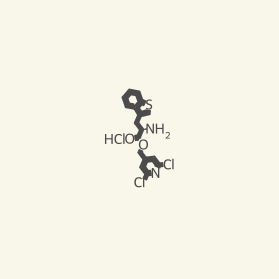 Cl.N[C@@H](Cc1csc2ccccc12)C(=O)OCc1cc(Cl)nc(Cl)c1